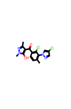 Cc1ccc(C(=O)c2c(C)nn(C)c2O)c(Cl)c1-n1cc(Cl)cn1